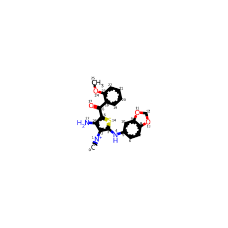 [C-]#[N+]c1c(Nc2ccc3c(c2)OCO3)sc(C(=O)c2ccccc2OC)c1N